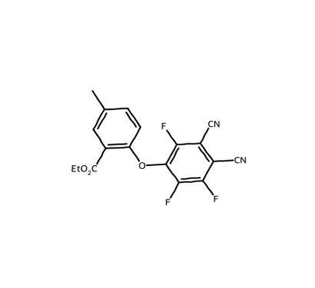 CCOC(=O)c1cc(C)ccc1Oc1c(F)c(F)c(C#N)c(C#N)c1F